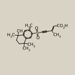 C/C(C#CS(=O)(=O)c1cc2c(cc1C)C(C)(C)CCC2(C)C)=C\C(=O)O